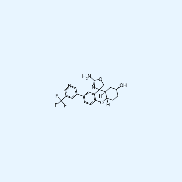 NC1=NC2(CO1)c1cc(-c3cncc(C(F)(F)F)c3)ccc1O[C@H]1CC[C@H](O)C[C@@H]12